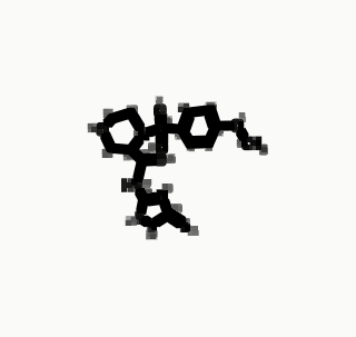 COc1ccc(S(=O)(=O)N2CCOCC2C(=O)Nc2nc(=S)ss2)cc1